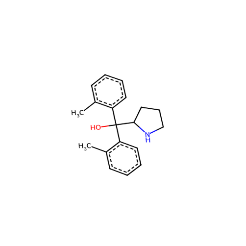 Cc1ccccc1C(O)(c1ccccc1C)C1CCCN1